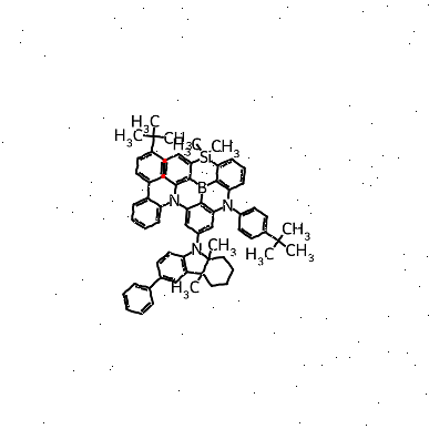 CC(C)(C)c1ccc(-c2ccccc2N2c3cc(N4c5ccc(-c6ccccc6)cc5C5(C)CCCCC45C)cc4c3B3c5c(cccc5[Si](C)(C)c5cccc2c53)N4c2ccc(C(C)(C)C)cc2)cc1